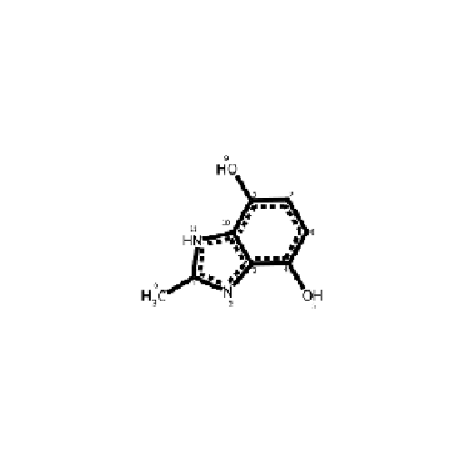 Cc1nc2c(O)ccc(O)c2[nH]1